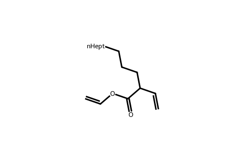 C=COC(=O)C(C=C)CCCCCCCCCC